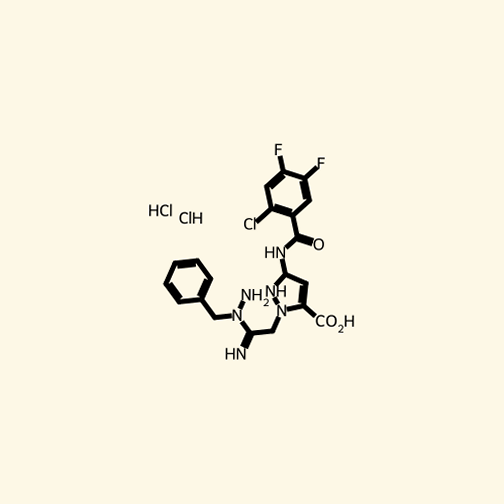 Cl.Cl.N=C(CN1NC(NC(=O)c2cc(F)c(F)cc2Cl)C=C1C(=O)O)N(N)Cc1ccccc1